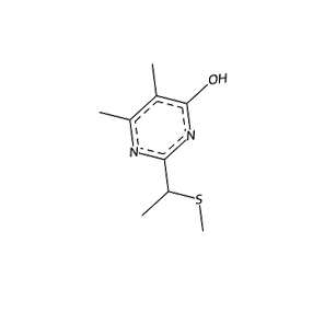 CSC(C)c1nc(C)c(C)c(O)n1